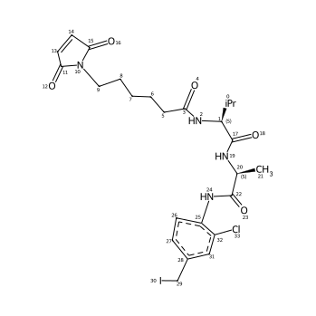 CC(C)[C@H](NC(=O)CCCCCN1C(=O)C=CC1=O)C(=O)N[C@@H](C)C(=O)Nc1ccc(CI)cc1Cl